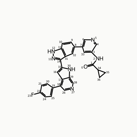 O=C(Nc1cncc(-c2ccc3[nH]nc(-c4cc5c(-c6ccc(F)cc6)cncc5[nH]4)c3c2)c1)C1CC1